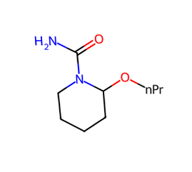 CCCOC1CCCCN1C(N)=O